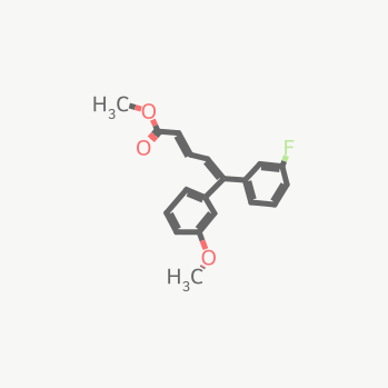 COC(=O)/C=C/C=C(/c1cccc(F)c1)c1cccc(OC)c1